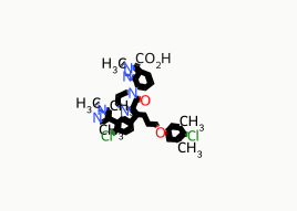 Cc1cc(OCCCc2c3n(c4c(-c5c(C)nn(C)c5C)c(Cl)ccc24)CCCN(c2cccc4c(C(=O)O)n(C)nc24)C3=O)cc(C)c1Cl